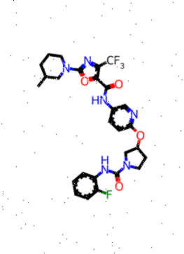 CC1CCCN(c2nc(C(F)(F)F)c(C(=O)Nc3ccc(OC4CCN(C(=O)Nc5ccccc5F)C4)nc3)o2)C1